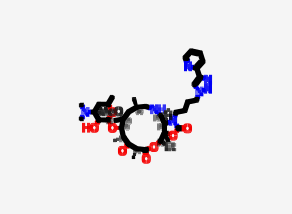 CC[C@H]1OC(=O)[C@H](C)C(=O)[C@H](C)[C@@H](O[C@@H]2OC(C)CC(N(C)C)C2O)[C@](C)(OC)C[C@@H](C)CN[C@H](C)[C@H]2N(CCCCn3cc(-c4ccccn4)nn3)C(=O)O[C@]12C